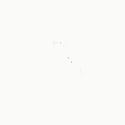 CCC1CC=C(c2nc(-c3ccccc3O)cs2)CC1